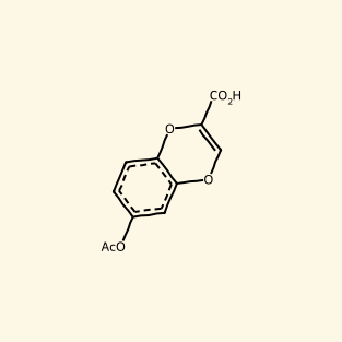 CC(=O)Oc1ccc2c(c1)OC=C(C(=O)O)O2